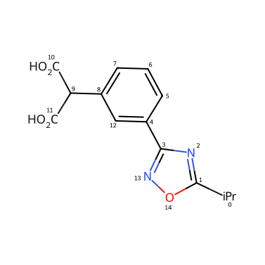 CC(C)c1nc(-c2cccc(C(C(=O)O)C(=O)O)c2)no1